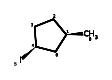 C[C@@H]1CC[C@@H](I)C1